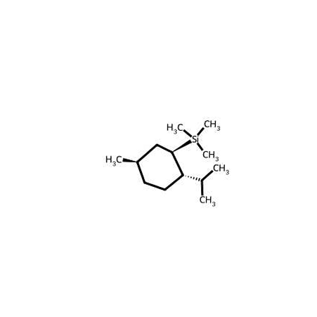 CC(C)[C@@H]1CC[C@@H](C)C[C@H]1[Si](C)(C)C